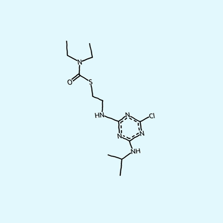 CCN(CC)C(=O)SCCNc1nc(Cl)nc(NC(C)C)n1